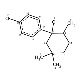 CC1CCC(C)(C)CC1(O)c1ccc(Cl)cc1